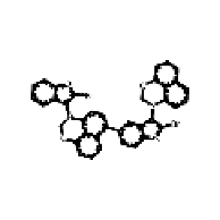 Brc1oc2ccccc2c1N1COc2cccc3c(-c4ccc5sc(Br)c(N6COc7cccc8cccc6c78)c5c4)ccc1c23